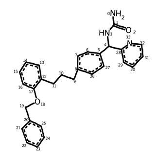 NC(=O)NC(c1ccc(CCCc2ccccc2OCc2ccccc2)cc1)c1ccccn1